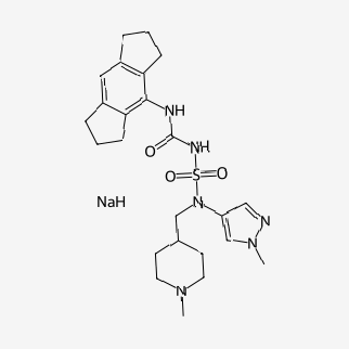 CN1CCC(CN(c2cnn(C)c2)S(=O)(=O)NC(=O)Nc2c3c(cc4c2CCC4)CCC3)CC1.[NaH]